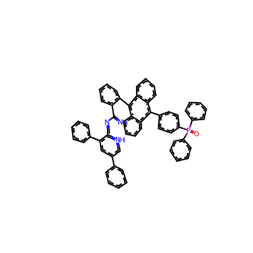 N=C(/N=c1\[nH]cc(-c2ccccc2)cc1-c1ccccc1)c1ccccc1-c1c2ccccc2c(-c2ccc(P(=O)(c3ccccc3)c3ccccc3)cc2)c2ccccc12